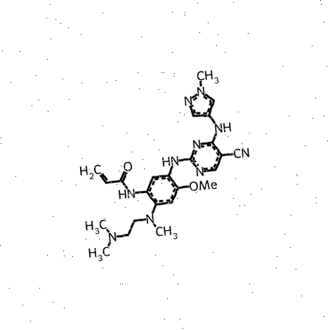 C=CC(=O)Nc1cc(Nc2ncc(C#N)c(Nc3cnn(C)c3)n2)c(OC)cc1N(C)CCN(C)C